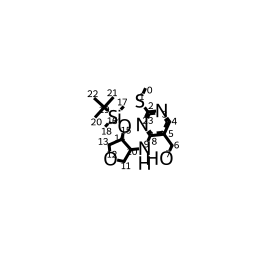 CSc1ncc(CO)c(NC2COCC2O[Si](C)(C)C(C)(C)C)n1